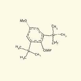 COc1cc([Si](C)(C)C)c(OC)c([Si](C)(C)C)c1